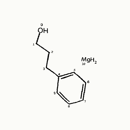 OCCCc1ccccc1.[MgH2]